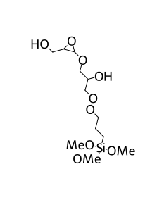 CO[Si](CCCOOCC(O)COC1OC1CO)(OC)OC